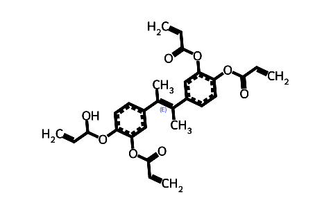 C=CC(=O)Oc1ccc(/C(C)=C(\C)c2ccc(OC(O)C=C)c(OC(=O)C=C)c2)cc1OC(=O)C=C